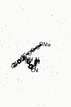 COCCOCCOCCOCCOc1nn([C@H]2CC[C@H](N3C[C@@H](C)O[C@@H](C)C3)CC2)cc1Nc1ncc(-c2ccc(C#N)c(O[C@@H](C)Cn3cncn3)c2)cn1